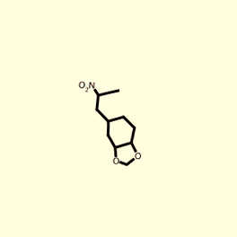 CC(CC1CCC2OCOC2C1)[N+](=O)[O-]